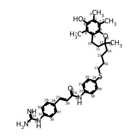 Cc1c(C)c2c(c(C)c1O)CCC(C)(CCCCSc1ccc(NC(=O)C=Cc3ccc(NC(=N)N)cc3)cc1)O2